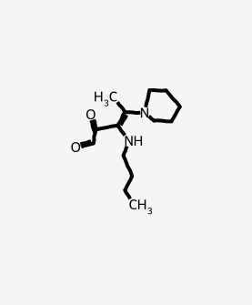 CCCCN/C(C(=O)C=O)=C(/C)N1CCCCC1